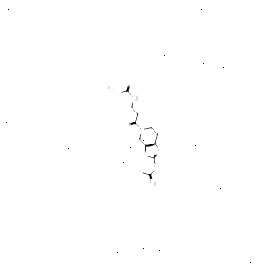 CC(C)(C)OC(=O)NCCC(=O)N1CCc2nc(NC(=N)N)sc2C1